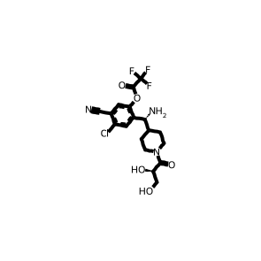 N#Cc1cc(OC(=O)C(F)(F)F)c([C@H](N)C2CCN(C(=O)[C@H](O)CO)CC2)cc1Cl